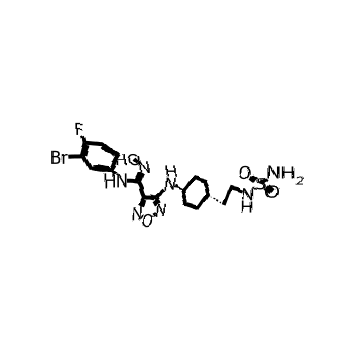 NS(=O)(=O)NCC[C@H]1CC[C@H](Nc2nonc2C(=NO)Nc2ccc(F)c(Br)c2)CC1